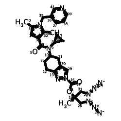 Cc1cc(C(=O)N(C2CC2)C2CCc3nn(C(=O)OC(C)(CN=[N+]=[N-])CN=[N+]=[N-])cc3C2)c(C)n1Cc1cccnc1